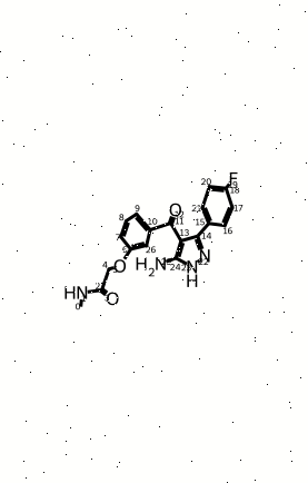 CNC(=O)COc1cccc(C(=O)c2c(-c3ccc(F)cc3)n[nH]c2N)c1